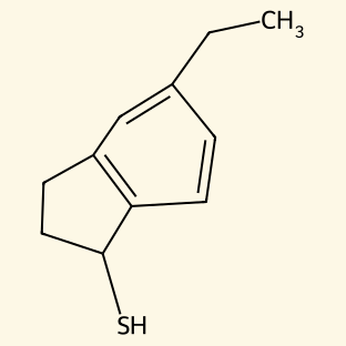 CCc1ccc2c(c1)CCC2S